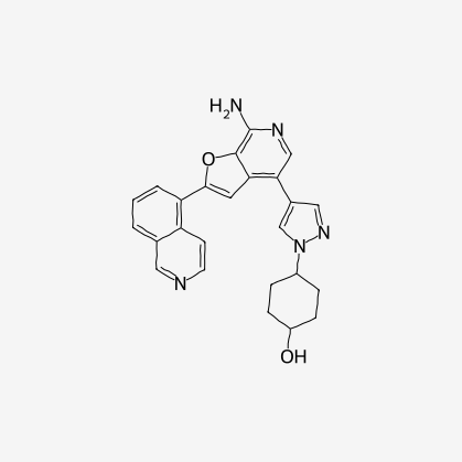 Nc1ncc(-c2cnn(C3CCC(O)CC3)c2)c2cc(-c3cccc4cnccc34)oc12